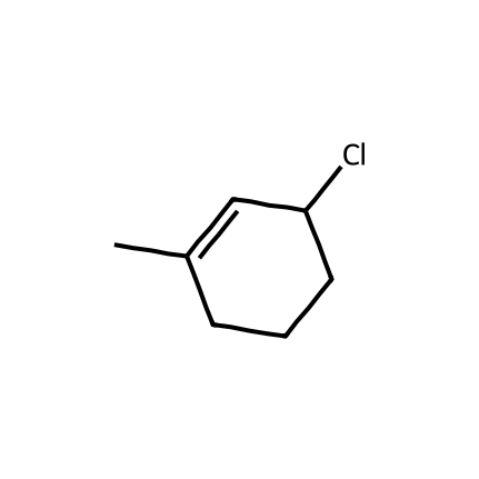 CC1=CC(Cl)CCC1